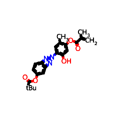 C=C(C)C(=O)Oc1cc(O)c(-n2n3c4ccc(OC(=O)C(C)(C)C)cc4n23)cc1C